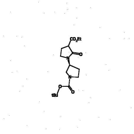 CCOC(=O)C1CCN([C@H]2CCN(C(=O)OC(C)(C)C)C2)C1=O